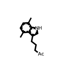 CC(=O)CCCc1c[nH]c2c(C)ccc(C)c12